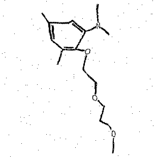 COCCOCCOc1c(C)cc(C)cc1N(C)C